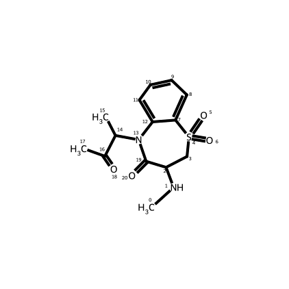 CNC1CS(=O)(=O)c2ccccc2N(C(C)C(C)=O)C1=O